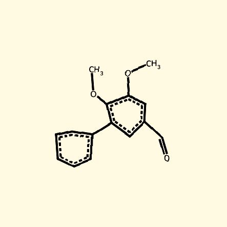 COc1cc(C=O)cc(-c2ccccc2)c1OC